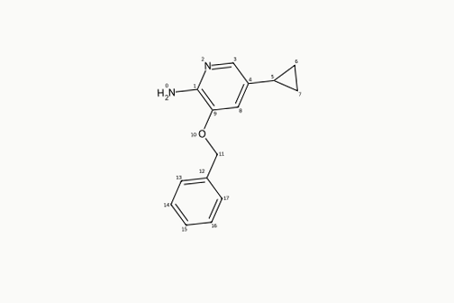 Nc1ncc(C2CC2)cc1OCc1ccccc1